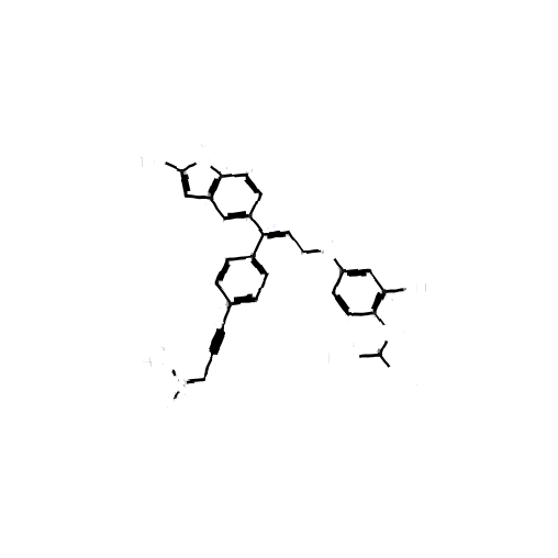 Cc1cc2cc(/C(=C/COc3ccc(OC(C)C(=O)O)c(C)c3)c3ccc(C#CCN(C)C)cc3)ccc2o1